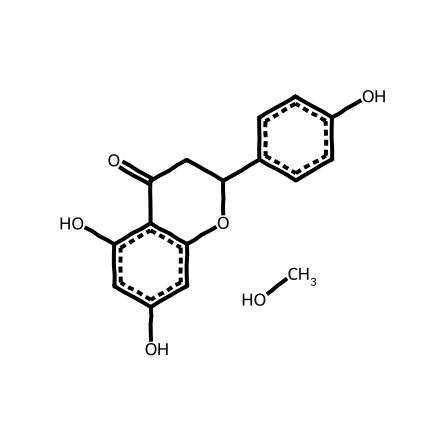 CO.O=C1CC(c2ccc(O)cc2)Oc2cc(O)cc(O)c21